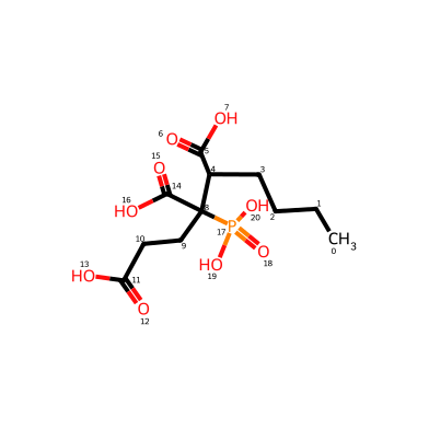 CCCCC(C(=O)O)C(CCC(=O)O)(C(=O)O)P(=O)(O)O